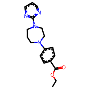 CCOC(=O)c1ccc(N2CCCN(c3ncccn3)CC2)cc1